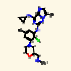 N#Cc1cc(Nc2nc(NC3CC3)c3ncc(C#N)n3n2)c(Cl)c(N2CCOC(CNC(=O)O)C2)c1